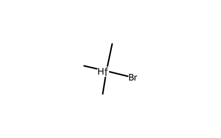 [CH3][Hf]([CH3])([CH3])[Br]